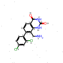 NCc1c(-c2ccc(Cl)cc2Cl)ccc2c(=O)[nH]c(=O)[nH]c12